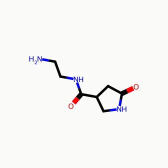 NCCNC(=O)C1CNC(=O)C1